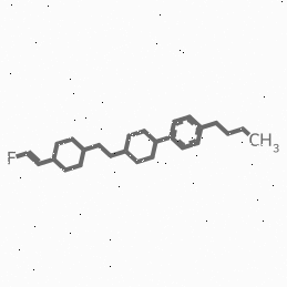 CCCCc1ccc(C2CCC(CCC3CCC(/C=C/F)CC3)CC2)cc1